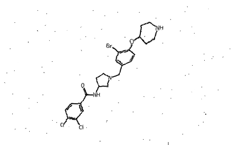 O=C(NC1CCN(Cc2ccc(OC3CCNCC3)c(Br)c2)C1)c1ccc(Cl)c(Cl)c1